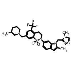 Cc1cc2ccc(N3CCc4c(C(F)(F)F)cc(CN5CCC[C@H](C)C5)cc4S3(=O)=O)cc2n1Cc1nncn1C